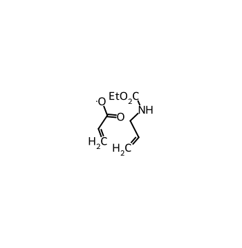 C=CC([O])=O.C=CCNC(=O)OCC